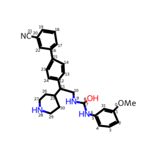 COc1cccc(NC(O)NCC(c2ccc(-c3cccc(C#N)c3)cc2)C2CCNCC2)c1